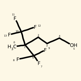 CC(CCCO)(C(F)(F)F)C(F)(F)F